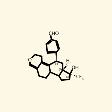 C[C@]12C[C@H](c3ccc(C=O)cc3)C3=C4CCOC=C4CCC3C1CC[C@@]2(O)C(F)(F)F